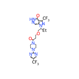 CCC(COCCC(=O)N1CCN(c2ncc(C(F)(F)F)cn2)CC1)n1nc(C(F)(F)F)c2c(=O)[nH]ncc21